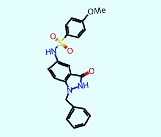 COc1ccc(S(=O)(=O)Nc2ccc3c(c2)c(=O)[nH]n3Cc2ccccc2)cc1